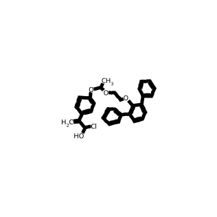 C=C(c1ccc(OC(C)OCCOc2c(-c3ccccc3)cccc2-c2ccccc2)cc1)C(O)Cl